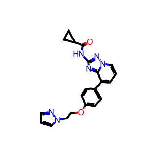 O=C(Nc1nc2c(-c3ccc(OCCn4cccn4)cc3)cccn2n1)C1CC1